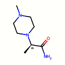 C[C@H](C(N)=O)N1CCN(C)CC1